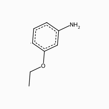 CCOc1[c]ccc(N)c1